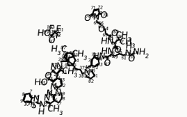 Cc1c(Nc2nc3ccccc3s2)nnc2c1CCCN2c1ccc(-c2cnn(CC34CC5(C)CC(CCC[N+]6(Cc7ccc(NC(=O)[C@H](CCCNC(N)=O)NC(=O)[C@@H](NC(=O)CCOCCN8C(=O)C=CC8=O)C(C)C)cc7)CCCC6)(C3)C[C@@](C)(C5)C4)c2C)c(C(=O)O)n1.O=C(O)C(F)(F)F